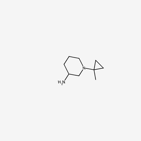 CC1(N2CCCC(N)C2)CC1